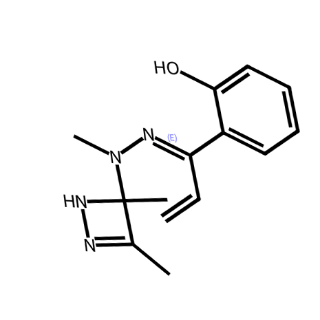 C=C/C(=N\N(C)C1(C)NN=C1C)c1ccccc1O